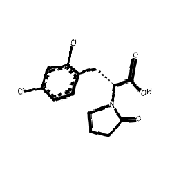 O=C(O)[C@@H](Cc1ccc(Cl)cc1Cl)N1CCCC1=O